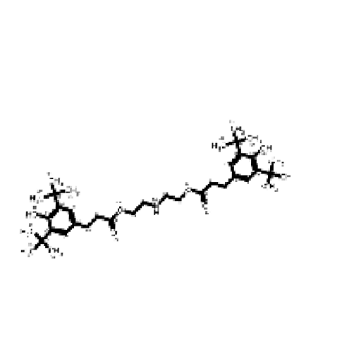 CC(C)(C)c1cc(CCC(=O)OCCNCCOC(=O)CCc2cc(C(C)(C)C)c(O)c(C(C)(C)C)c2)cc(C(C)(C)C)c1O